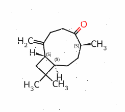 C=C1CCC(=O)[C@@H](C)CC[C@@H]2[C@@H]1CC2(C)C